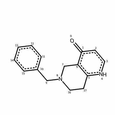 O=c1cc[nH]c2c1CN(Cc1ccccc1)CC2